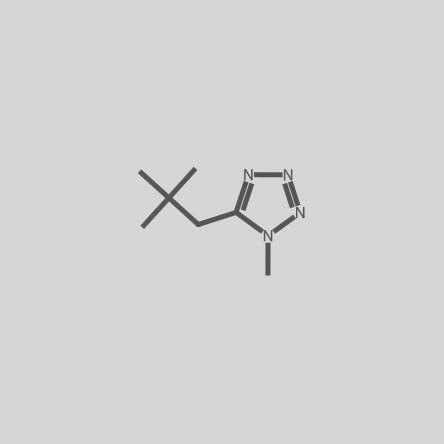 Cn1nnnc1CC(C)(C)C